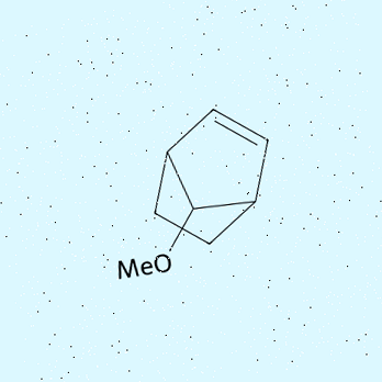 COC1C2C=CC1CC2